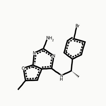 Cc1cc2c(N[C@@H](C)c3ccc(Br)cc3)nc(N)nc2o1